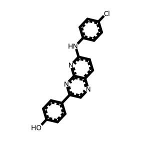 Oc1ccc(-c2cnc3ccc(Nc4ccc(Cl)cc4)nc3n2)cc1